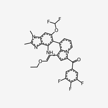 CCOC=Cc1cc(C(=O)c2cc(F)c(F)c(F)c2)n2cccc(-c3c(OC(F)F)cc4c(nc(C)n4C)c3N)c12